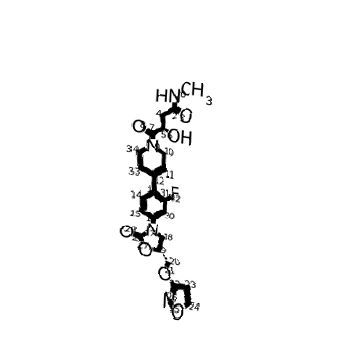 CNC(=O)C[C@@H](O)C(=O)N1CC=C(c2ccc(N3C[C@H](COc4ccon4)OC3=O)cc2F)CC1